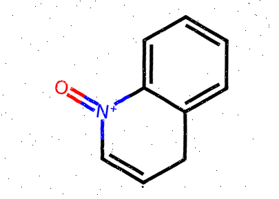 O=[N+]1C=[C]Cc2ccccc21